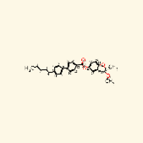 CCCCCc1ccc(-c2ccc(C(=O)Oc3ccc(O[C@H](C)COC)cc3)cc2)cc1